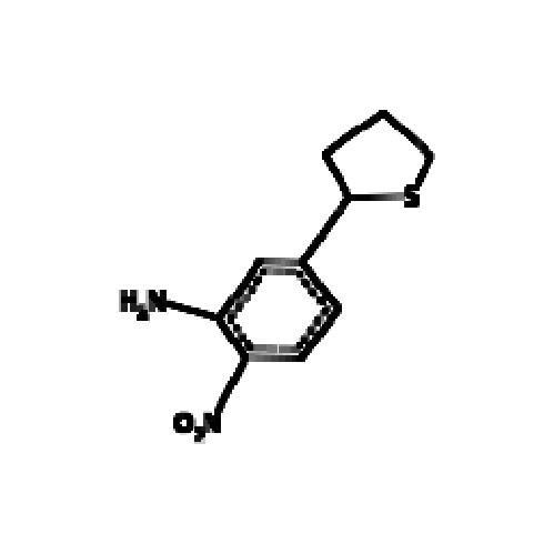 Nc1cc(C2CCCS2)ccc1[N+](=O)[O-]